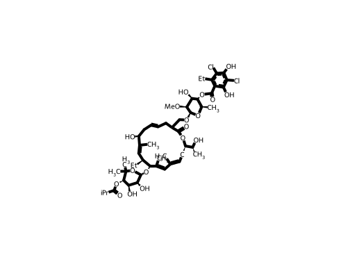 CCc1c(Cl)c(O)c(Cl)c(O)c1C(=O)O[C@H]1[C@H](O)[C@H](OC)[C@H](OCC2C/C=C/C[C@H](O)/C(C)=C/[C@H](CC)[C@@H](O[C@@H]3OC(C)(C)[C@@H](OC(=O)C(C)C)[C@H](O)[C@@H]3O)/C(C)=C/C(C)=C/C[C@@H]([C@@H](C)O)OC2=O)O[C@@H]1C